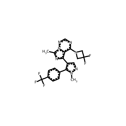 Cc1nc(-c2cnn(C)c2-c2ccc(C(F)(F)F)cc2)c2c(N3CC(F)(F)C3)ncnn12